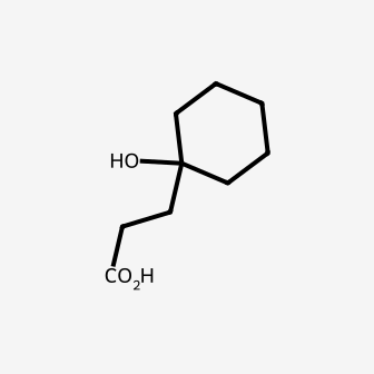 O=C(O)CCC1(O)CCCCC1